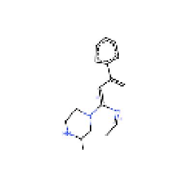 C=C(/C=C(\N=C/C)N1CCNC(C)C1)c1ccccc1